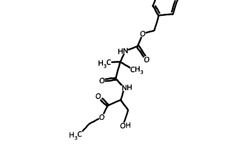 CCOC(=O)C(CO)NC(=O)C(C)(C)NC(=O)OCc1ccccc1